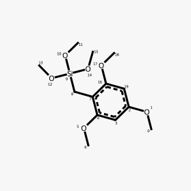 COc1cc(OC)c(C[Si](OC)(OC)OC)c(OC)c1